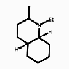 CCN1C(C)CC[C@H]2CCCC[C@H]21